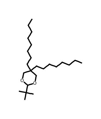 CCCCCCCCC1(CCCCCCCC)COC(C(C)(C)C)OC1